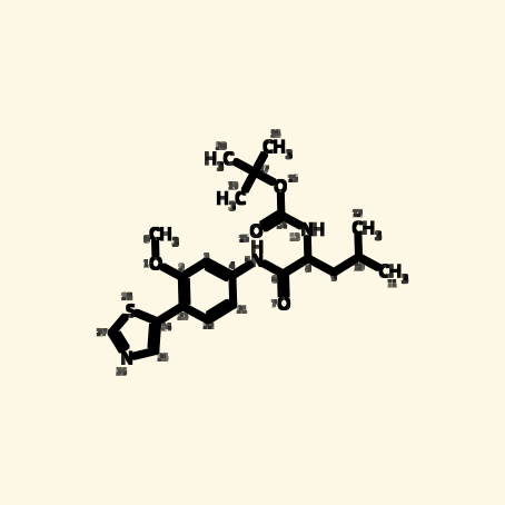 COc1cc(NC(=O)C(CC(C)C)NC(=O)OC(C)(C)C)ccc1-c1cncs1